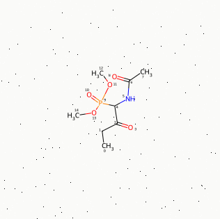 CCC(=O)C(NC(C)=O)P(=O)(OC)OC